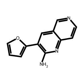 Nc1nc2ccncc2cc1-c1ccco1